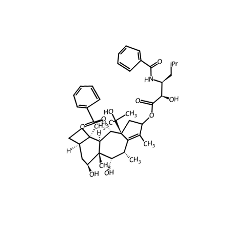 CC1=C2[C@H](C)[C@H](O)[C@@]3(C)[C@H]([C@H](OC(=O)c4ccccc4)[C@]2(C(C)(C)O)CC1OC(=O)[C@H](O)[C@H](CC(C)C)NC(=O)c1ccccc1)[C@]1(C)CC[C@@H]1C[C@@H]3O